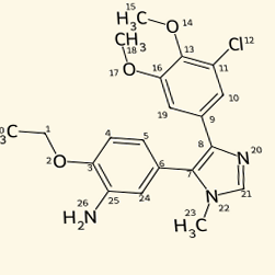 CCOc1ccc(-c2c(-c3cc(Cl)c(OC)c(OC)c3)ncn2C)cc1N